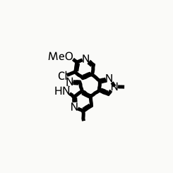 COc1ncc(-c2nn(C)cc2-c2cc(C)nc3[nH]ncc23)cc1Cl